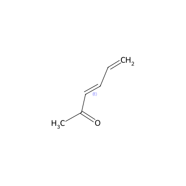 C=C/C=C/C(C)=O